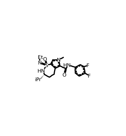 CCN=S1(=O)N[C@@H](C(C)C)CCc2c1cn(C)c2C(=O)Nc1ccc(F)c(F)c1